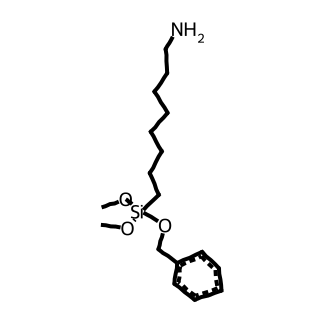 CO[Si](CCCCCCCCN)(OC)OCc1ccccc1